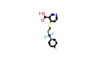 O=C(O)c1cnccc1SCCC(F)(F)c1ccc(F)cc1